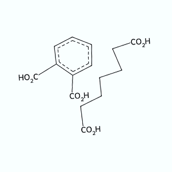 O=C(O)CCCCCC(=O)O.O=C(O)c1ccccc1C(=O)O